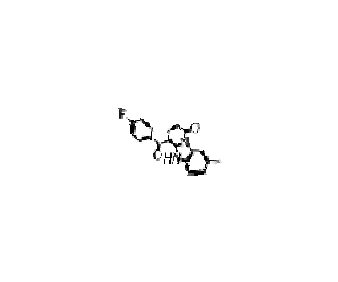 Cc1ccc2[nH]c3c(C(=O)c4ccc(F)cc4)ccc(=O)n3c2c1